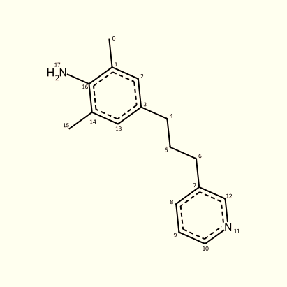 Cc1cc(C[CH]Cc2cccnc2)cc(C)c1N